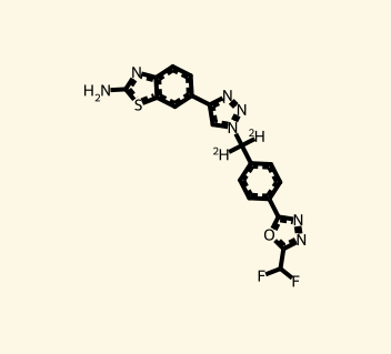 [2H]C([2H])(c1ccc(-c2nnc(C(F)F)o2)cc1)n1cc(-c2ccc3nc(N)sc3c2)nn1